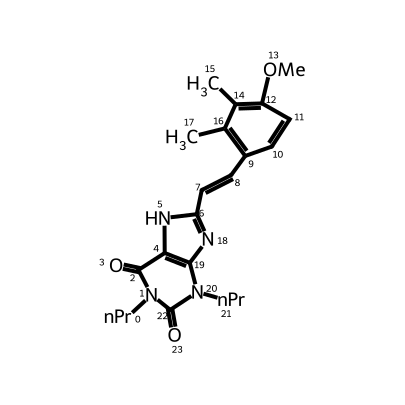 CCCn1c(=O)c2[nH]c(C=Cc3ccc(OC)c(C)c3C)nc2n(CCC)c1=O